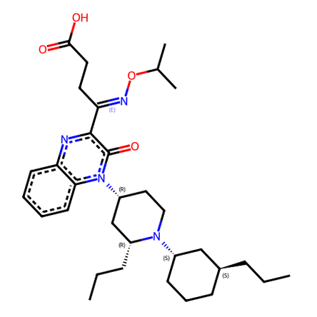 CCC[C@H]1CCC[C@H](N2CC[C@@H](n3c(=O)c(/C(CCC(=O)O)=N/OC(C)C)nc4ccccc43)C[C@H]2CCC)C1